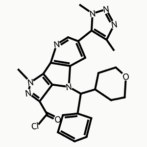 Cc1nnn(C)c1-c1cnc2c3c(c(C(=O)Cl)nn3C)n(C(c3ccccc3)C3CCOCC3)c2c1